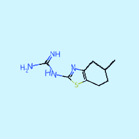 CC1CCc2sc(NC(=N)N)nc2C1